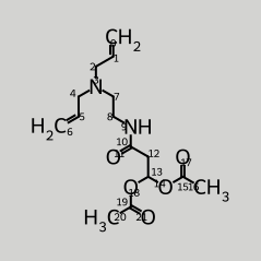 C=CCN(CC=C)CCNC(=O)CC(OC(C)=O)OC(C)=O